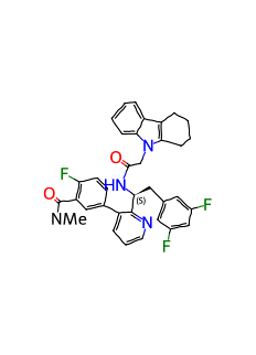 CNC(=O)c1cc(-c2cccnc2[C@H](Cc2cc(F)cc(F)c2)NC(=O)Cn2c3c(c4ccccc42)CCCC3)ccc1F